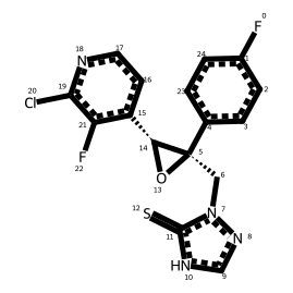 Fc1ccc([C@@]2(Cn3nc[nH]c3=S)O[C@@H]2c2ccnc(Cl)c2F)cc1